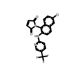 O=C1C=CC(=O)N1c1c(Nc2ccc(C(F)(F)F)cn2)ccc2cc(Cl)ccc12